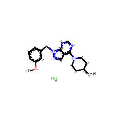 CCOc1cccc(Cn2ncc3c(N4CCC(C(=O)O)CC4)ncnc32)c1.Cl